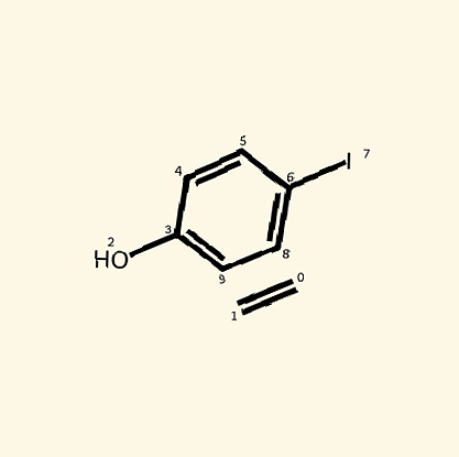 C=C.Oc1ccc(I)cc1